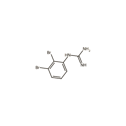 N=C(N)Nc1cccc(Br)c1Br